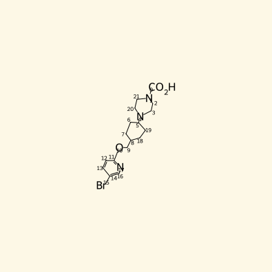 O=C(O)N1CCN(C2CCC(COc3ccc(Br)cn3)CC2)CC1